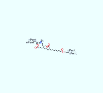 CCCCCC(CCCCC)CCOC(=O)CCCCCCCC(CCCCCCCC(=O)OCCC(CCCCC)CCCCC)CC(=O)OCCCCN(CC)CC